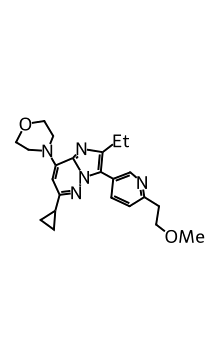 CCc1nc2c(N3CCOCC3)cc(C3CC3)nn2c1-c1ccc(CCOC)nc1